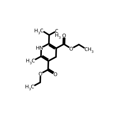 CCOC(=O)C1=C(C)NC(C(C)C)=C(C(=O)OCC)C1